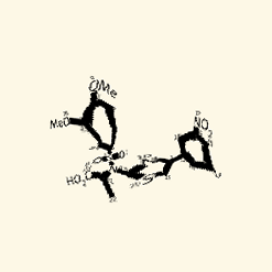 COc1ccc(S(=O)(=O)N(c2nc(-c3cccc([N+](=O)[O-])c3)cs2)C(C)C(=O)O)cc1OC